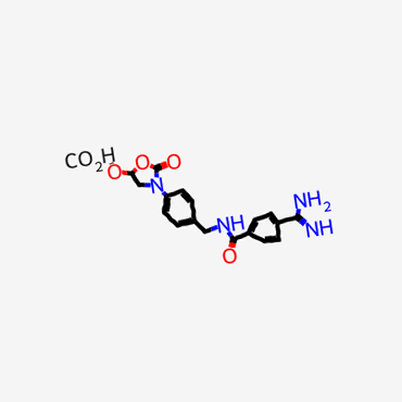 N=C(N)c1ccc(C(=O)NCc2ccc(N3CC(OC(=O)O)OC3=O)cc2)cc1